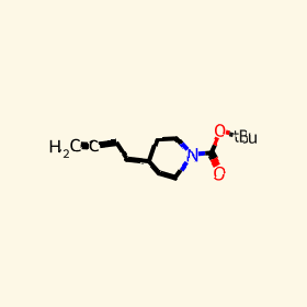 C=C=CCC1CCN(C(=O)OC(C)(C)C)CC1